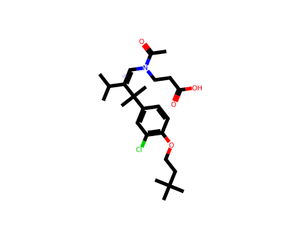 CC(=O)N(/C=C(/C(C)C)C(C)(C)c1ccc(OCCC(C)(C)C)c(Cl)c1)CCC(=O)O